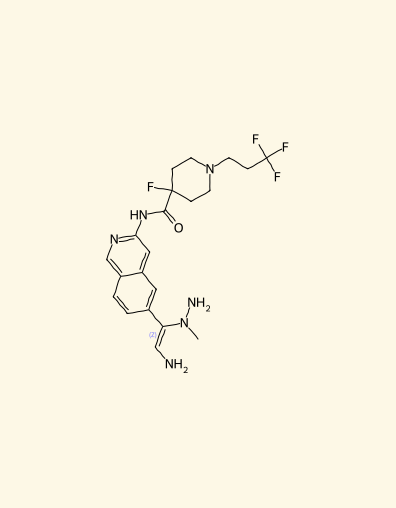 CN(N)/C(=C\N)c1ccc2cnc(NC(=O)C3(F)CCN(CCC(F)(F)F)CC3)cc2c1